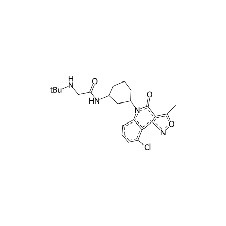 Cc1onc2c1c(=O)n(C1CCCC(NC(=O)CNC(C)(C)C)C1)c1cccc(Cl)c21